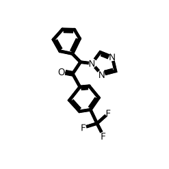 O=C(c1ccc(C(F)(F)F)cc1)C(c1ccccc1)n1cncn1